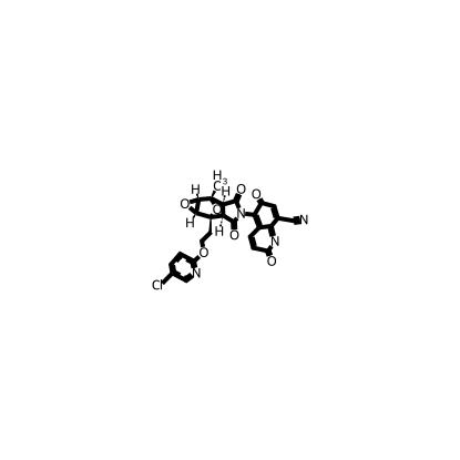 C[C@]12O[C@](CCOc3ccc(Cl)cn3)([C@@H]3C(=O)N(C4=C5C=CC(=O)N=C5C(C#N)=CC4=O)C(=O)[C@@H]31)[C@H]1O[C@H]12